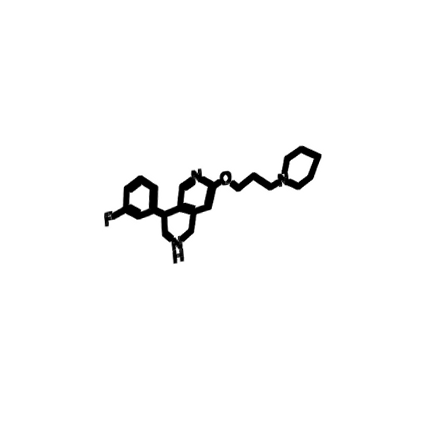 Fc1cccc(C2CNCc3cc(OCCCN4CCCCC4)ncc32)c1